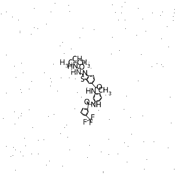 Cc1ccc(NC(=O)c2cccc(C(F)(F)F)c2)cc1NC(=O)c1ccc2nc(NC(=O)NC(C)(C)C)sc2c1